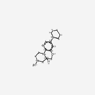 CC(C)N1CCN2c3ncc(N4CCCCC4)cc3OC[C@@H]2C1